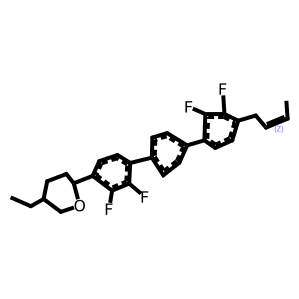 C/C=C\Cc1ccc(-c2ccc(-c3ccc(C4CCC(CC)CO4)c(F)c3F)cc2)c(F)c1F